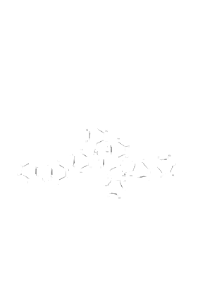 c1ccc(Nc2ccc(-c3ccc(N(c4ccccc4)c4cc5c6ccccc6n(-c6ccc(-c7ccccc7)cc6)c5c5ccccc45)cc3)cc2)cc1